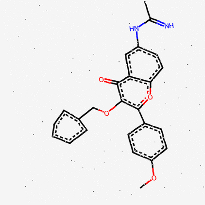 COc1ccc(-c2oc3ccc(NC(C)=N)cc3c(=O)c2OCc2ccccc2)cc1